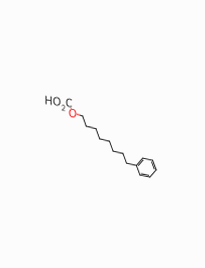 O=C(O)OCCCCCCCCc1ccccc1